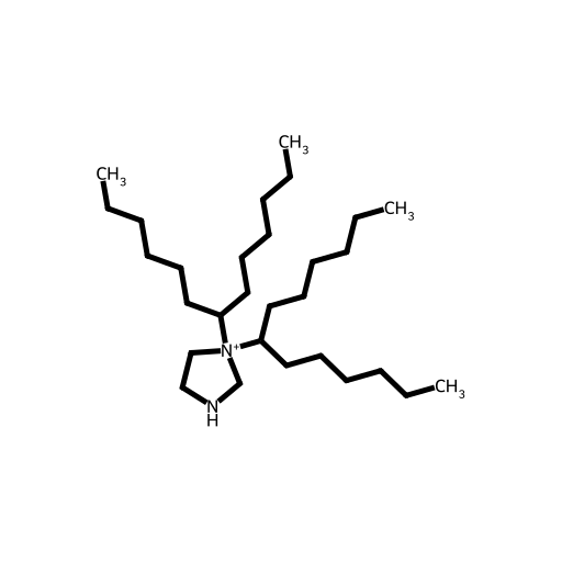 CCCCCCC(CCCCCC)[N+]1(C(CCCCCC)CCCCCC)CCNC1